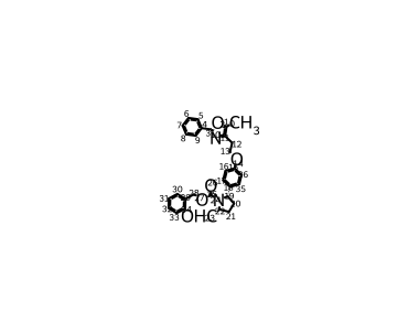 Cc1oc(-c2ccccc2)nc1CCOc1ccc([C@@H]2CC[C@@H](C=O)N2C(=O)OCc2ccccc2)cc1